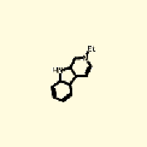 [CH2]CN1C=CC2C(C1)NC1C=CC=CC12